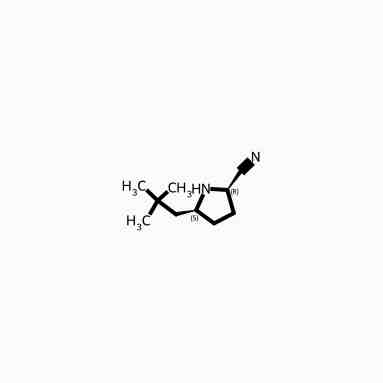 CC(C)(C)C[C@@H]1CC[C@H](C#N)N1